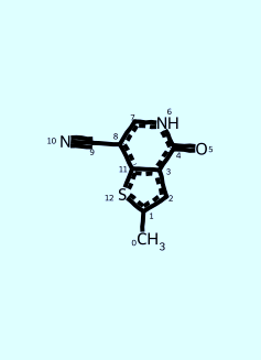 Cc1cc2c(=O)[nH]cc(C#N)c2s1